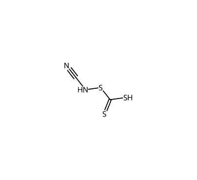 N#CNSC(=S)S